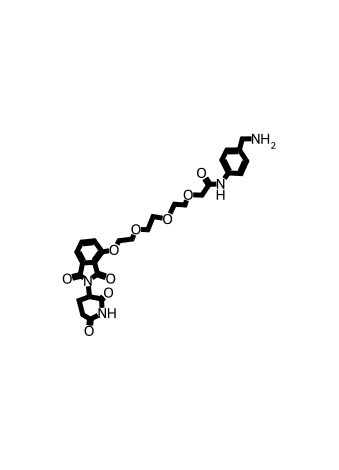 NCc1ccc(NC(=O)COCCOCCOCCOc2cccc3c2C(=O)N(C2CCC(=O)NC2=O)C3=O)cc1